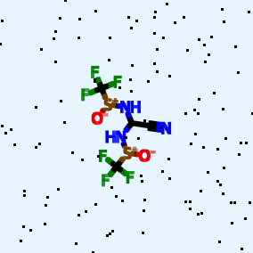 N#CC(N[S+]([O-])C(F)(F)F)N[S+]([O-])C(F)(F)F